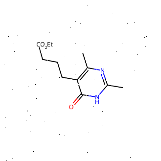 CCOC(=O)CCCc1c(C)nc(C)[nH]c1=O